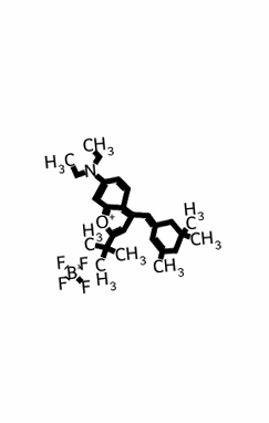 CCN(CC)c1ccc2c(C=C3C=C(C)CC(C)(C)C3)cc(C(C)(C)C)[o+]c2c1.F[B-](F)(F)F